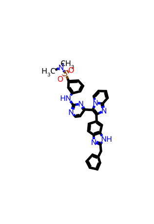 CN(C)S(=O)(=O)c1cccc(Nc2nccc(-c3c(-c4ccc5nc(Cc6ccccc6)[nH]c5c4)nc4ccccn34)n2)c1